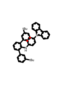 CC(C)(C)c1cccc(-c2cccc(-c3cccc(C(C)(C)C)c3)c2Nc2ccc(-n3c4ccccc4c4ccccc43)cc2)c1